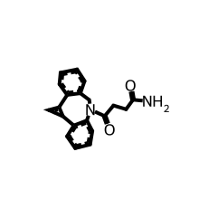 NC(=O)CCC(=O)N1Cc2ccccc2C2=CC2c2ccccc21